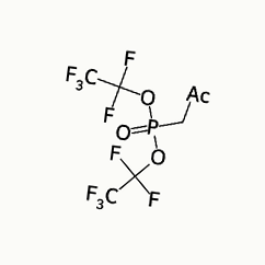 CC(=O)CP(=O)(OC(F)(F)C(F)(F)F)OC(F)(F)C(F)(F)F